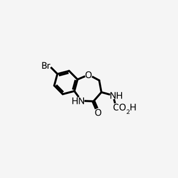 O=C(O)NC1COc2cc(Br)ccc2NC1=O